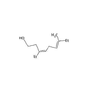 CCC(C)=CCC=C(CC)CCO